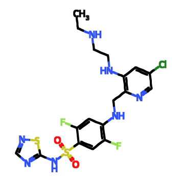 CCNCCNc1cc(Cl)cnc1CNc1cc(F)c(S(=O)(=O)Nc2ncns2)cc1F